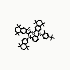 Cc1cc(C(C)(C)C)ccc1N1c2cc3c(cc2B2c4sc5cc6c(cc5c4N(c4ccc5c(c4)C(C)(C)CCC5(C)C)c4cccc1c42)C(C)(C)CCC6(C)C)C(C)(C)CCC3(C)C